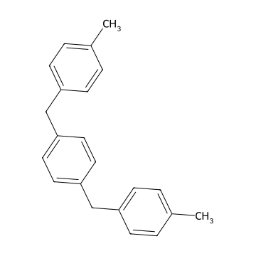 Cc1ccc(Cc2ccc(Cc3ccc(C)cc3)cc2)cc1